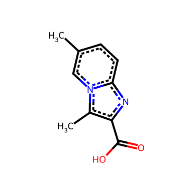 Cc1ccc2nc(C(=O)O)c(C)n2c1